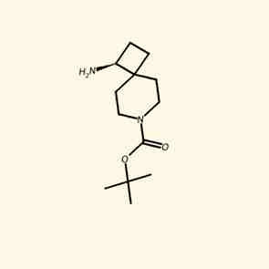 CC(C)(C)OC(=O)N1CCC2(CC[C@@H]2N)CC1